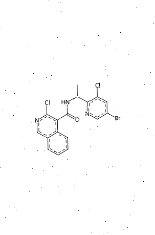 CC(NC(=O)c1c(Cl)ncc2ccccc12)c1ncc(Br)cc1Cl